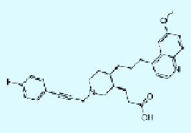 COc1ccc2nccc(CCC[C@@H]3CCN(CC#Cc4ccc(F)cc4)C[C@@H]3CCC(=O)O)c2c1